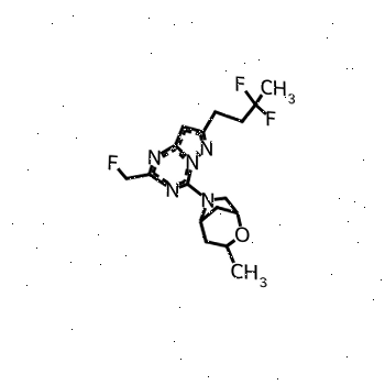 CC1CC2CC(CN2c2nc(CF)nc3cc(CCC(C)(F)F)nn23)O1